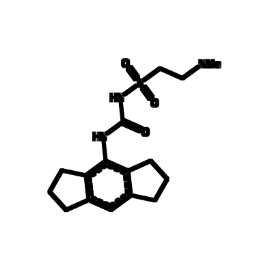 CNCCS(=O)(=O)NC(=O)Nc1c2c(cc3c1CCC3)CCC2